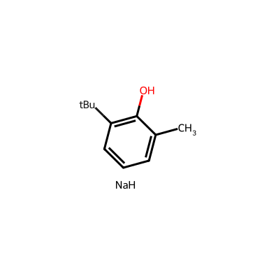 Cc1cccc(C(C)(C)C)c1O.[NaH]